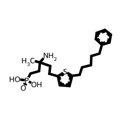 CC(N)(CCc1ccc(CCCCCc2ccccc2)s1)CCP(=O)(O)O